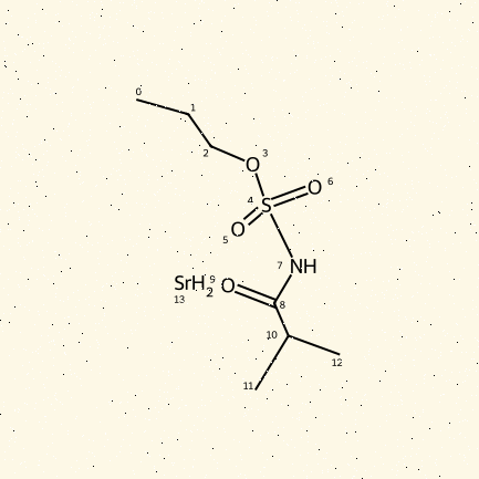 CCCOS(=O)(=O)NC(=O)C(C)C.[SrH2]